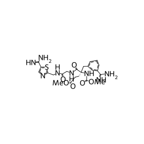 COC(=O)CC[C@](Cc1cccc(C(=N)N)c1)(NC(=O)OC)C(=O)NCC(=O)NCc1ncc(C(=N)N)s1